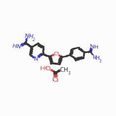 CC(=O)O.N=C(N)c1ccc(-c2ccc(-c3ccc(C(=N)N)cn3)o2)cc1